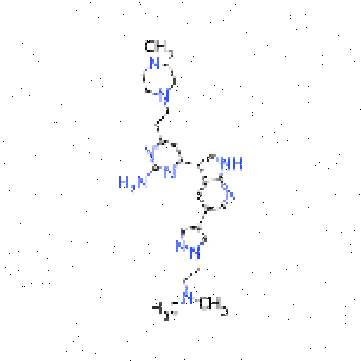 CN(C)CCn1cc(-c2cnc3[nH]cc(-c4cc(CCN5CCN(C)CC5)nc(N)n4)c3c2)cn1